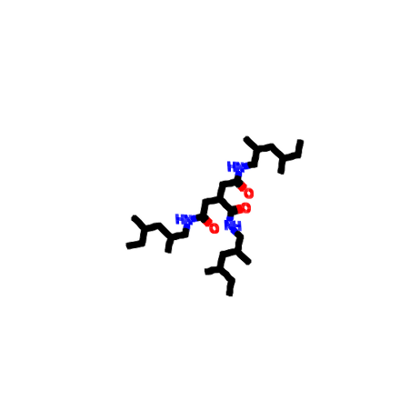 CCC(C)CC(C)CNC(=O)CC(CC(=O)NCC(C)CC(C)CC)C(=O)NCC(C)CC(C)CC